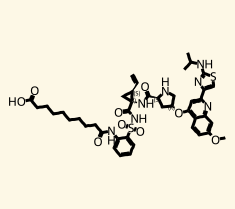 C=C[C@@H]1C[C@]1(NC(=O)[C@@H]1C[C@@H](Oc2cc(-c3csc(NC(C)C)n3)nc3cc(OC)ccc23)CN1)C(=O)NS(=O)(=O)c1ccccc1NC(=O)CCCCCCCCC(=O)O